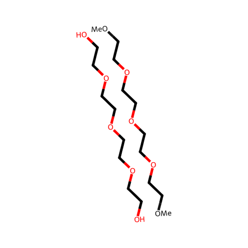 COCCOCCOCCOCCOC.OCCOCCOCCOCCO